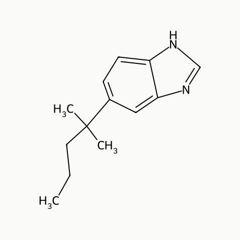 CCCC(C)(C)c1ccc2[nH]cnc2c1